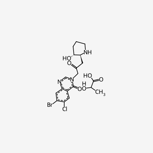 CC(O)C(=O)O.O=C(C[C@@H]1NCCC[C@H]1O)Cn1cnc2cc(Br)c(Cl)cc2c1=O